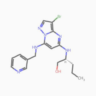 CCC[C@H](CO)Nc1cc(NCc2cccnc2)n2ncc(Br)c2n1